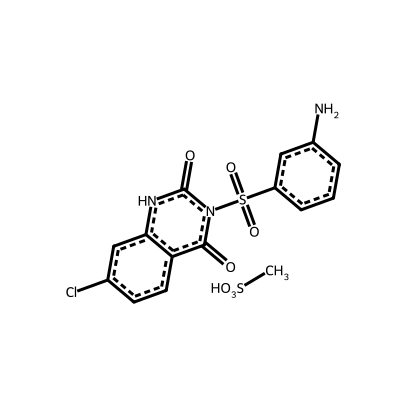 CS(=O)(=O)O.Nc1cccc(S(=O)(=O)n2c(=O)[nH]c3cc(Cl)ccc3c2=O)c1